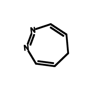 C1=CN=NC=CC1